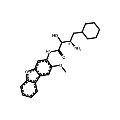 COc1cc2c(cc1NC(=O)C(O)[C@H](N)CC1CCCCC1)oc1ccccc12